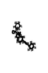 O=C(c1cc2ncc(C#Cc3ccccc3)cn2n1)N1CCCCC1